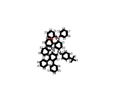 CC(C)(C)c1ccc(N2c3ccc(N(c4ccccc4)c4ccccc4)cc3[Si](c3ccccc3)(c3ccccc3)c3cc(-c4ccccc4)c(-c4ccccc4)cc32)cc1